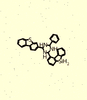 c1ccc(C2NC(c3ccc4c(c3)sc3ccccc34)NC(c3cccc4c3-c3ccccc3[SiH2]4)N2)cc1